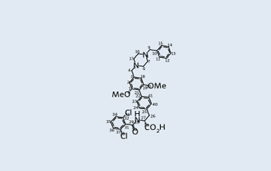 COc1cc(CN2CCN(Cc3ccccc3)CC2)cc(OC)c1-c1ccc(C[C@H](NC(=O)c2c(Cl)cccc2Cl)C(=O)O)cc1